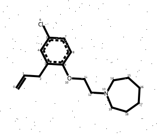 C=CCc1cc(Cl)ccc1OCCN1CCCCCC1